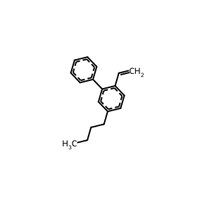 C=Cc1ccc(CCCC)cc1-c1ccccc1